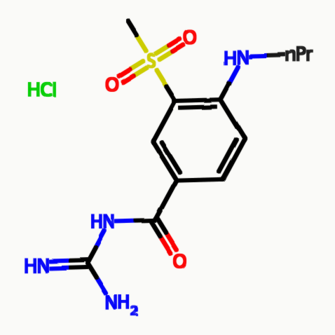 CCCNc1ccc(C(=O)NC(=N)N)cc1S(C)(=O)=O.Cl